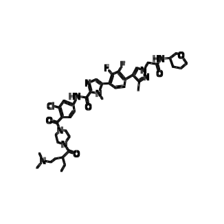 CCC(CCN(C)C)C(=O)N1CCN(C(=O)c2ccc(NC(=O)c3ncc(-c4ccc(-c5cn(CC(=O)NC6CCCOC6)nc5C)c(F)c4F)n3C)cc2Cl)CC1